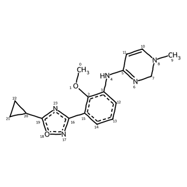 COc1c(NC2=NCN(C)C=C2)cccc1-c1noc(C2CC2)n1